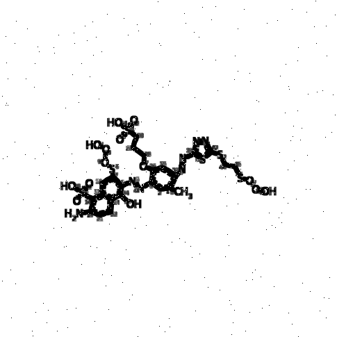 Cc1cc(N=Nc2c(SOOO)cc3c(S(=O)(=O)O)c(N)ccc3c2O)c(OCCCS(=O)(=O)O)cc1N=Nc1nnc(SCCSOOO)s1